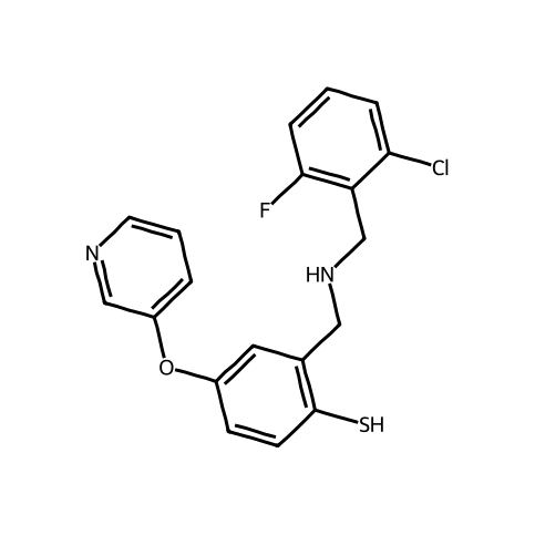 Fc1cccc(Cl)c1CNCc1cc(Oc2cccnc2)ccc1S